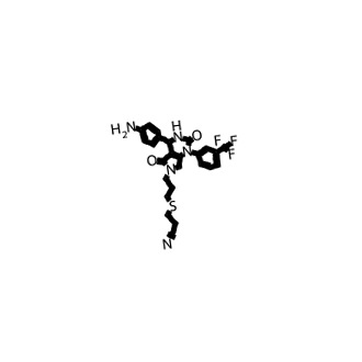 N#CCCSCCCN1CC2=C(C1=O)C(c1ccc(N)cc1)NC(=O)N2c1cccc(C(F)(F)F)c1